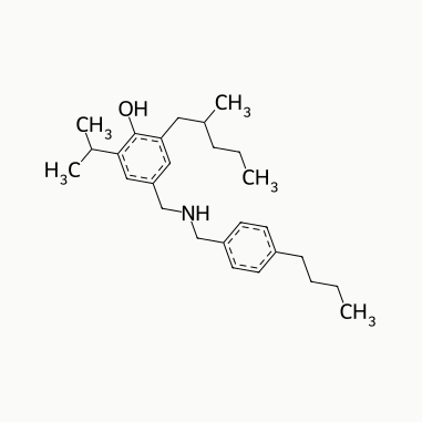 CCCCc1ccc(CNCc2cc(CC(C)CCC)c(O)c(C(C)C)c2)cc1